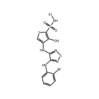 CCNS(=O)(=O)c1scc(Nc2nsnc2Nc2ccccc2Br)c1O